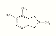 Cc1ccc2c(c1C)CN(C)C2